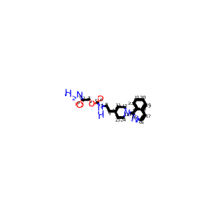 NC(=O)COC(=O)NCCC1CCN(c2nccc3ccccc23)CC1